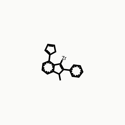 CC1C(c2ccccc2)=[C]([Zr])c2c(C3=CC=CC3)cccc21